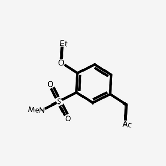 CCOc1ccc(CC(C)=O)cc1S(=O)(=O)NC